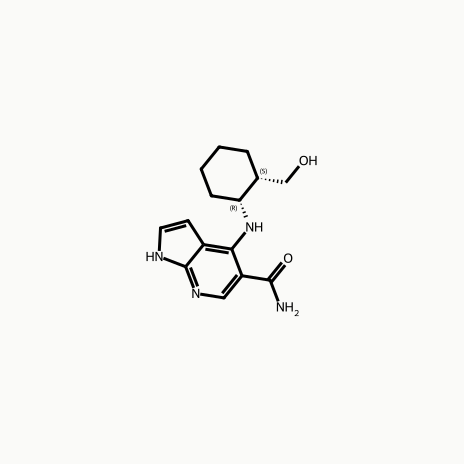 NC(=O)c1cnc2[nH]ccc2c1N[C@@H]1CCCC[C@@H]1CO